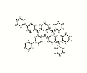 c1ccc(-c2ccc3c(c2)N(c2cnc(-c4ccncc4)cn2)c2cccc4c2B3c2ccc(N(c3ccccc3)c3ccccc3)cc2N4c2ccccc2)cc1